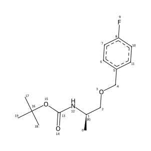 C[C@H](COCc1ccc(F)cc1)NC(=O)OC(C)(C)C